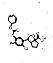 COC(=O)C12CCCC1C(c1cc(NC(=O)OC3C=CC=CC3)c(F)cc1Cl)=NO2